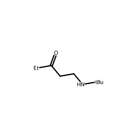 CCC(=O)CCNC(C)(C)C